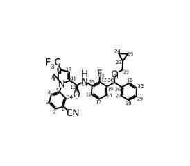 N#Cc1cccc(-n2nc(C(F)(F)F)cc2C(=O)Nc2cccc(C(OCC3CC3)c3ccccc3)c2F)c1